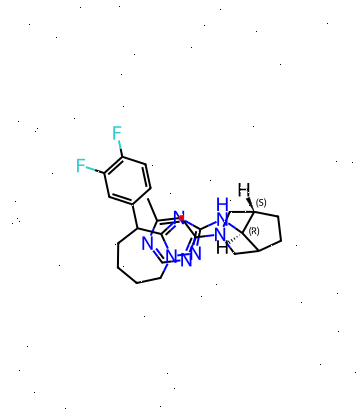 Cc1cc(N2CC3CC[C@@H](C2)[C@@H]3Nc2nc3n(n2)CCCCC3c2ccc(F)c(F)c2)ncn1